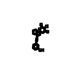 O=C1CC(CCC#Cc2cccc(O)c2)(C2CCCC2)OC(=O)C1Cl